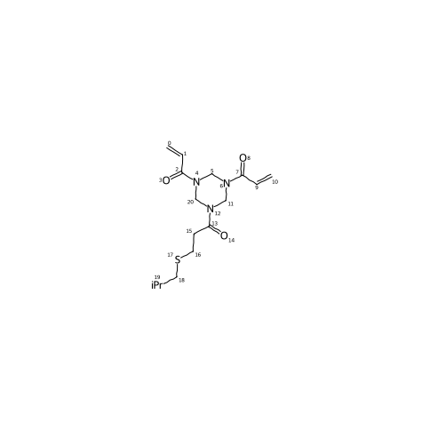 C=CC(=O)N1CN(C(=O)C=C)CN(C(=O)CCSCC(C)C)C1